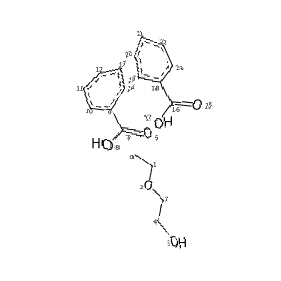 CCOCCO.O=C(O)c1ccccc1.O=C(O)c1ccccc1